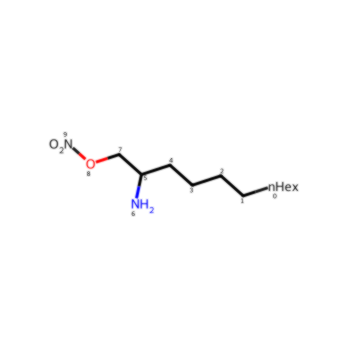 CCCCCCCCCCC(N)CO[N+](=O)[O-]